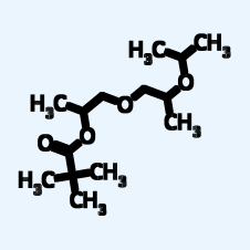 CC(C)OC(C)COCC(C)OC(=O)C(C)(C)C